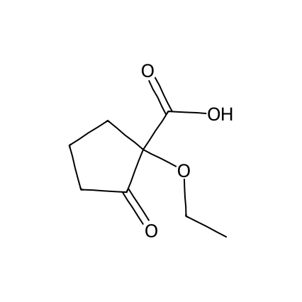 CCOC1(C(=O)O)CCCC1=O